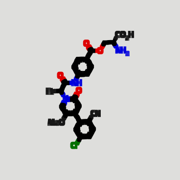 CCC(C(=O)Nc1ccc(C(=O)OC[C@H](N)C(=O)O)cc1)n1cc(OC)c(-c2cc(Cl)ccc2C#N)cc1=O